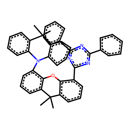 CC1(C)c2ccccc2N(c2cccc3c2Oc2c(-c4nc(-c5ccccc5)nc(-c5ccccc5)n4)cccc2C3(C)C)c2ccccc21